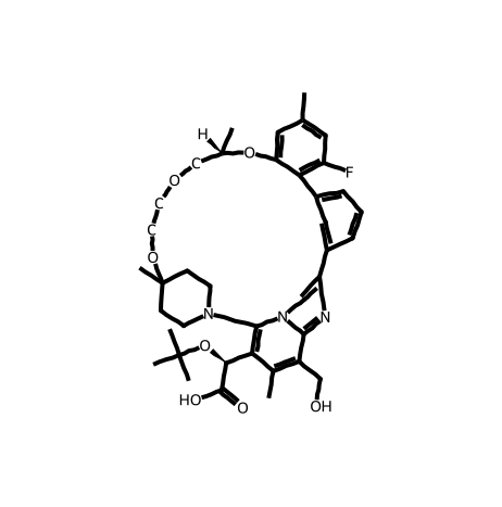 Cc1cc(F)c2c(c1)O[C@@H](C)COCCOC1(C)CCN(CC1)c1c([C@H](OC(C)(C)C)C(=O)O)c(C)c(CO)c3nc(cn13)-c1cccc-2c1